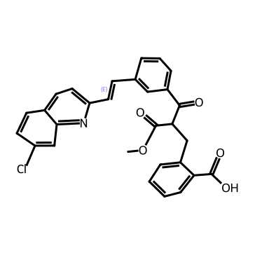 COC(=O)C(Cc1ccccc1C(=O)O)C(=O)c1cccc(/C=C/c2ccc3ccc(Cl)cc3n2)c1